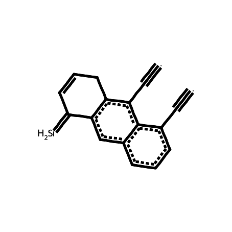 [C]#Cc1cccc2cc3c(c(C#[C])c12)CC=CC3=[SiH2]